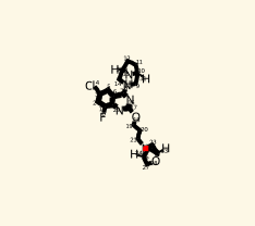 Fc1cc(Cl)cc2c(N3C[C@H]4CC[C@@H](C3)N4)nc(OCCCN3C[C@H]4C[C@@H]3CO4)nc12